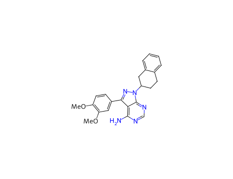 COc1ccc(-c2nn(C3CCc4ccccc4C3)c3ncnc(N)c23)cc1OC